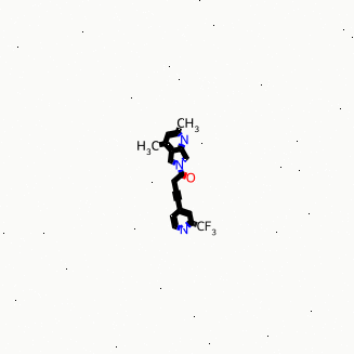 Cc1cc(C)c2c(n1)CN(C(=O)CC#Cc1ccnc(C(F)(F)F)c1)C2